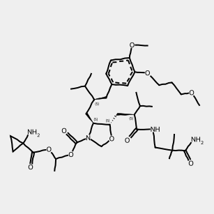 COCCCOc1cc(C[C@@H](C[C@H]2[C@H](C[C@H](C(=O)NCC(C)(C)C(N)=O)C(C)C)OCN2C(=O)OC(C)OC(=O)C2(N)CC2)C(C)C)ccc1OC